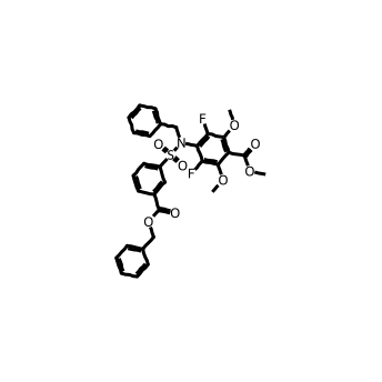 COC(=O)c1c(OC)c(F)c(N(Cc2ccccc2)S(=O)(=O)c2cccc(C(=O)OCc3ccccc3)c2)c(F)c1OC